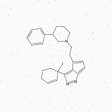 IC1(C2=C3C(CCN4CCCC(c5ccccc5)C4)=CC=C3N=N2)C=CCCC1